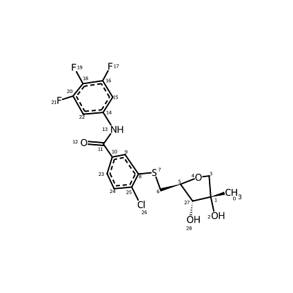 C[C@]1(O)CO[C@H](CSc2cc(C(=O)Nc3cc(F)c(F)c(F)c3)ccc2Cl)[C@H]1O